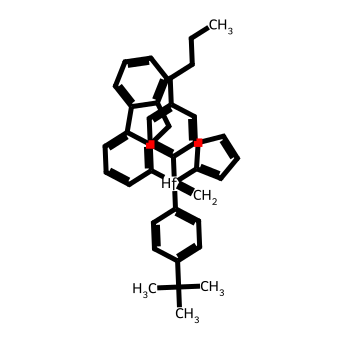 [CH2]=[Hf]([C]1=CC=CC1)([c]1ccc(CCCC)cc1)([c]1ccc(C(C)(C)C)cc1)[c]1cccc2c1Cc1ccccc1-2